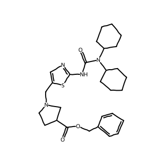 O=C(OCc1ccccc1)C1CCN(Cc2cnc(NC(=O)N(C3CCCCC3)C3CCCCC3)s2)C1